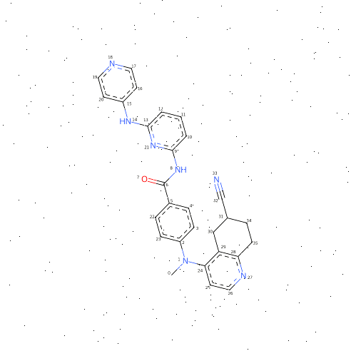 CN(c1ccc(C(=O)Nc2cccc(Nc3ccncc3)n2)cc1)c1ccnc2c1CC(C#N)CC2